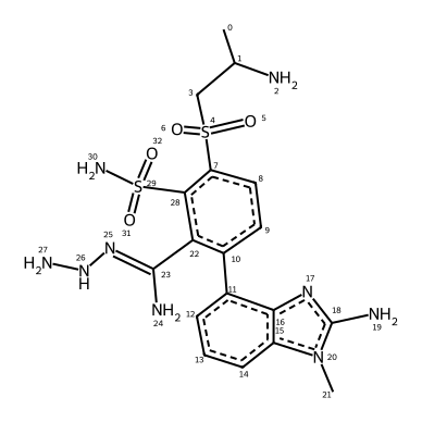 CC(N)CS(=O)(=O)c1ccc(-c2cccc3c2nc(N)n3C)c(/C(N)=N/NN)c1S(N)(=O)=O